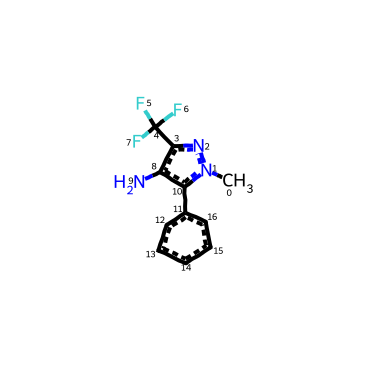 Cn1nc(C(F)(F)F)c(N)c1-c1ccccc1